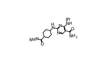 CNC(=O)C1CCC(Nc2ncc(C(N)=O)c(NC(C)C)n2)CC1